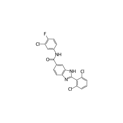 O=C(Nc1ccc(F)c(Cl)c1)c1ccc2nc(-c3c(Cl)cccc3Cl)[nH]c2c1